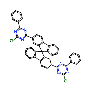 Clc1nc(-c2ccccc2)nc(-c2ccc3c(c2)C2(C4=C(C=CC(c5nc(Cl)nc(-c6ccccc6)n5)C4)c4ccccc42)c2ccccc2-3)n1